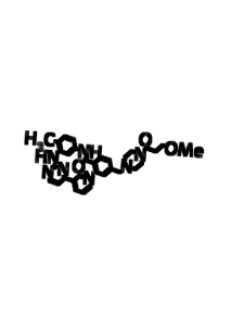 COCCC(=O)N1CCN(Cc2ccc(C(=O)Nc3ccc(C)c(Nc4nccc(-c5cccnc5)n4)c3)cc2)CC1